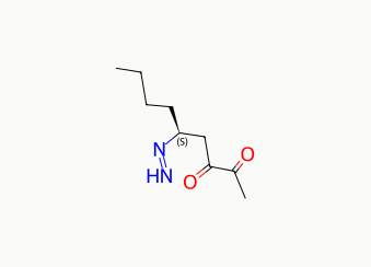 CCCC[C@@H](CC(=O)C(C)=O)N=N